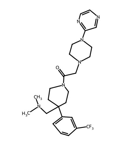 CN(C)CC1(c2cccc(C(F)(F)F)c2)CCN(C(=O)CN2CCN(c3cnccn3)CC2)CC1